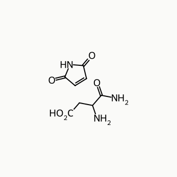 NC(=O)C(N)CC(=O)O.O=C1C=CC(=O)N1